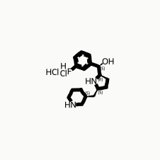 Cl.Cl.O[C@@H](c1cccc(F)c1)[C@H]1CC[C@@H](C[C@@H]2CCCNC2)N1